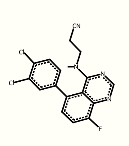 CN(CCC#N)c1ncnc2c(F)ccc(-c3ccc(Cl)c(Cl)c3)c12